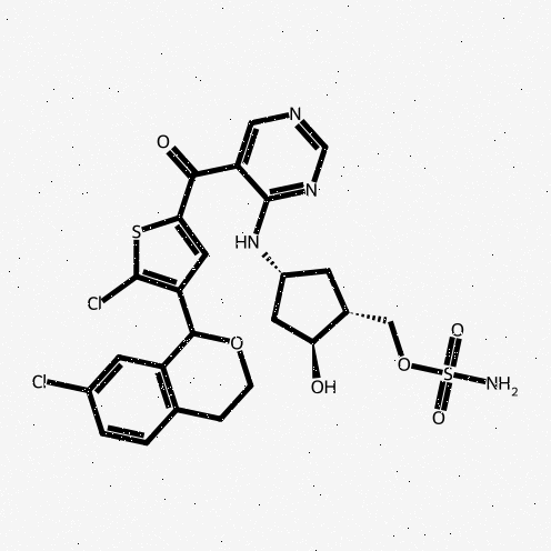 NS(=O)(=O)OC[C@H]1C[C@@H](Nc2ncncc2C(=O)c2cc(C3OCCc4ccc(Cl)cc43)c(Cl)s2)C[C@@H]1O